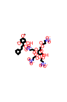 COc1cc(O)c(C(=O)C=Cc2ccccc2)c(OC)c1.O=C(CC[N+](=O)[O-])OCC1OC(O)C(OC(=O)CC[N+](=O)[O-])C(OC(=O)CC[N+](=O)[O-])C1OC(=O)CC[N+](=O)[O-]